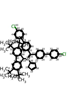 CC(C)(C)c1cc2c(cc1C(C)(C)C)[CH]([Zr]([C]1=CC=CC1)=[C](c1ccc(-c3ccc(Cl)cc3)cc1)c1ccc(-c3ccc(Cl)cc3)cc1)c1cc(C(C)(C)C)c(C(C)(C)C)cc1-2